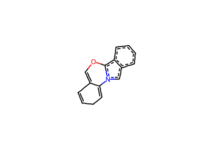 C1=CC2=COc3c4ccccc4cn3C2=CC1